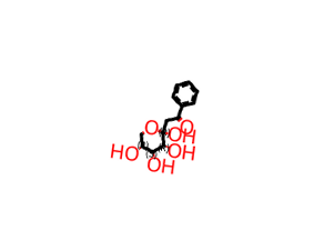 O=C(C[C@@]1(O)OC[C@@H](O)[C@H](O)[C@H]1O)c1ccccc1